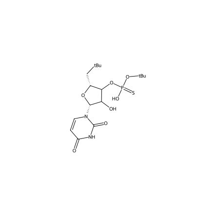 CC(C)(C)C[C@H]1O[C@@H](n2ccc(=O)[nH]c2=O)C(O)C1OP(O)(=S)OC(C)(C)C